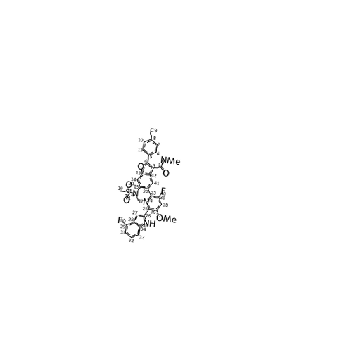 CNC(=O)c1c(-c2ccc(F)cc2)oc2cc(N(C)S(C)(=O)=O)c(-c3nc(-c4cc5c(F)cccc5[nH]4)c(OC)cc3F)cc12